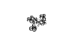 C[C@@H]1COC(=O)N1Cc1cc(-c2ccc(F)c(OC(F)F)c2)cnc1OC(F)F